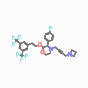 Fc1ccc(C2C(OCCc3cc(C(F)(F)F)cc(C(F)(F)F)c3)OCCN2CC#CCN2CCC2)cc1